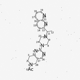 CC(=O)N1CCc2nc(N3CCN(C(C)c4ccc5cccnc5n4)CC3)ncc2C1